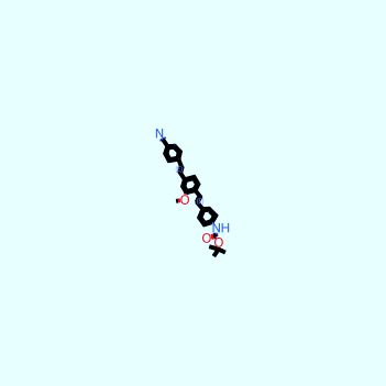 COc1cc(/C=C/c2ccc(C#N)cc2)ccc1/C=C/c1ccc(NC(=O)OC(C)(C)C)cc1